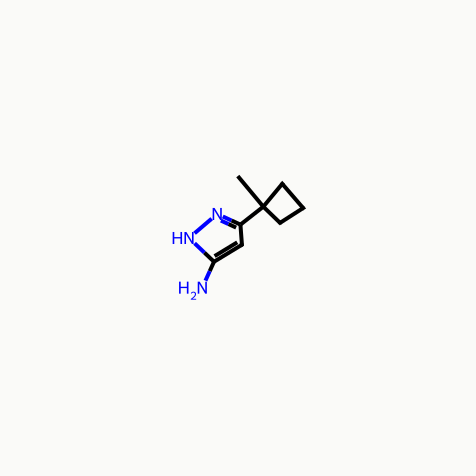 CC1(c2cc(N)[nH]n2)CCC1